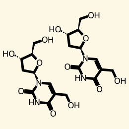 O=c1[nH]c(=O)n([C@H]2C[C@H](O)[C@@H](CO)O2)cc1CO.O=c1[nH]c(=O)n([C@H]2C[C@H](O)[C@@H](CO)O2)cc1CO